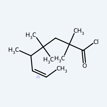 C/C=C\C(C)C(C)(C)CC(C)(C)C(=O)Cl